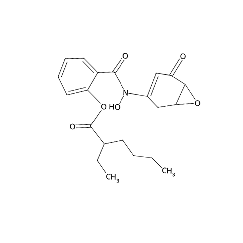 CCCCC(CC)C(=O)Oc1ccccc1C(=O)N(O)C1=CC(=O)C2OC2C1